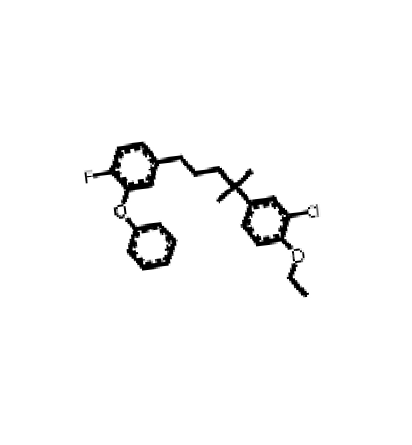 CCOc1ccc(C(C)(C)CCCc2ccc(F)c(Oc3ccccc3)c2)cc1Cl